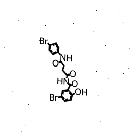 O=C(CCC(=O)Nc1ccc(Br)cc1)NC(=O)c1cc(Br)ccc1O